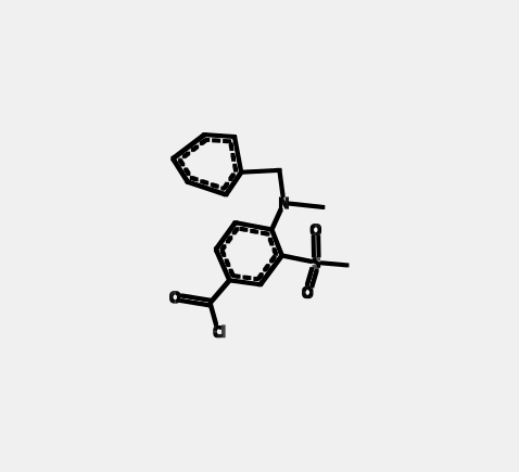 CN(Cc1ccccc1)c1ccc(C(=O)Cl)cc1S(C)(=O)=O